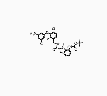 CC(C)(C)OC(=O)Nc1cccc2c1NC(C(=O)NCc1ccc(Cl)c(Oc3cc(N)cc(Cl)c3)c1F)C2